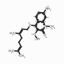 CC(C)=CCCC(C)=CCOc1c(OC(C)C)c(=O)n(C)c2cc(N)ccc12